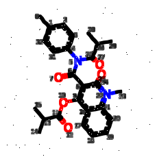 Cc1ccc(N(C(=O)c2c(OC(=O)C(C)C)c3ccccc3n(C)c2=O)C(=O)C(C)C)cc1